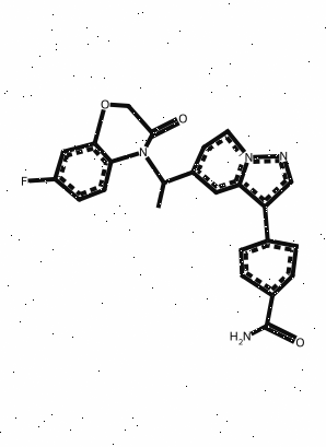 CC(c1ccn2ncc(-c3ccc(C(N)=O)cc3)c2c1)N1C(=O)COc2cc(F)ccc21